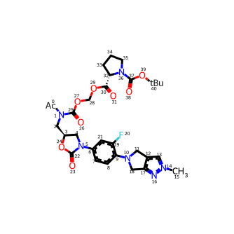 CC(=O)N(C[C@H]1CN(c2ccc(N3Cc4cn(C)nc4C3)c(F)c2)C(=O)O1)C(=O)OCOC(=O)[C@@H]1CCCN1C(=O)OC(C)(C)C